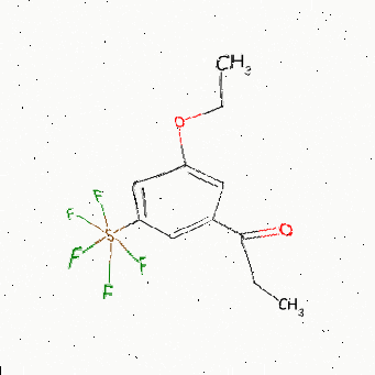 CCOc1cc(C(=O)CC)cc(S(F)(F)(F)(F)F)c1